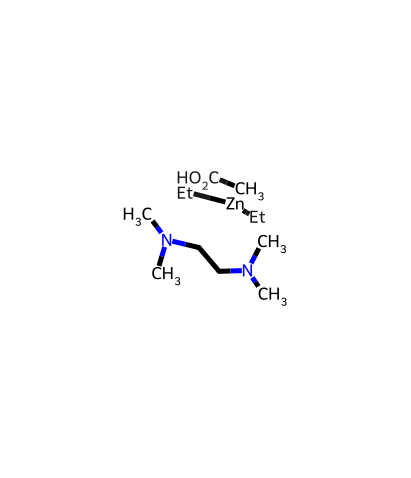 CC(=O)O.CN(C)CCN(C)C.C[CH2][Zn][CH2]C